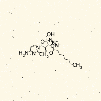 C=C1N=C(N)C=CN1[C@@H]1O[C@@](CO)(N=[N+]=[N-])[C@@H](OC(=O)CCCCCCC)[C@H]1F